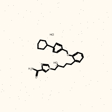 Cl.NC(=O)c1cn(C[C@@H](O)CCCc2ccccc2OCc2ccc(C3CCCCC3)cc2)cn1